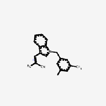 CC(=O)/C(C#N)=C/c1cn(Cc2cc(C)cc(C(F)(F)F)c2)c2ccccc12